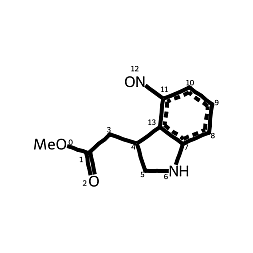 COC(=O)CC1CNc2cccc(N=O)c21